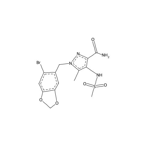 Cc1c(NS(C)(=O)=O)c(C(N)=O)nn1Cc1cc2c(cc1Br)OCO2